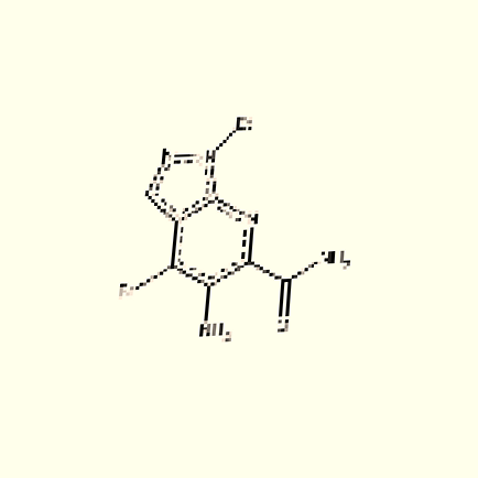 CCn1ncc2c(Br)c(N)c(C(N)=O)nc21